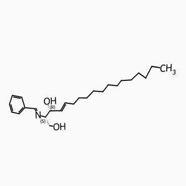 CCCCCCCCCCCCCC=C[C@@H](O)[C@H](CO)N=Cc1ccccc1